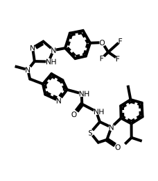 Cc1ccc(C(C)C)c(N2C(=O)CSC2NC(=O)Nc2ccc(CN(C)C3N=CN(c4ccc(OC(F)(F)F)cc4)N3)cn2)c1